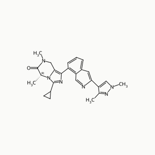 Cc1nn(C)cc1-c1cc2cccc(-c3nc(C4CC4)n4c3CN(C)C(=O)[C@H]4C)c2cn1